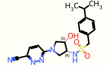 CC(C)c1ccc(CS(=O)(=O)N[C@@H]2CN(c3ccc(C#N)nn3)C[C@@H]2O)cc1